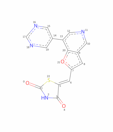 O=C1NC(=O)C(=Cc2cc3cncc(-c4cncnc4)c3o2)S1